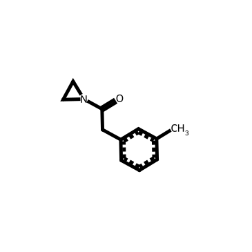 Cc1cccc(CC(=O)N2CC2)c1